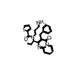 CCC(c1nc2ccccn2c(=O)c1Cc1ccccc1)N(CCCN)C(=O)c1cccs1